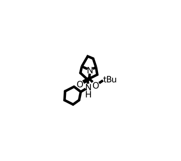 CC(C)(C)OC(=O)N1C2CCC1CC(NC1CCCCC1)C2